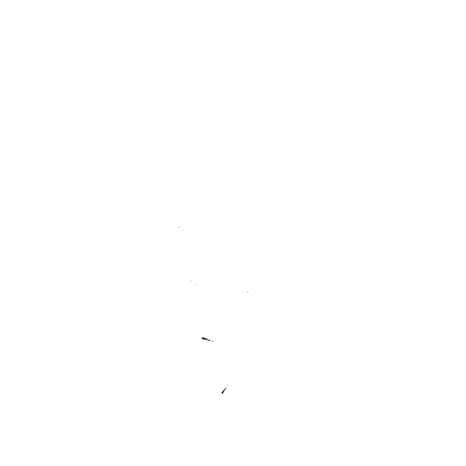 COc1ccc(OC)c(CNc2ncnc3c2ncn3[C@@H]2O[C@H](CO)[C@@H](O)[C@H]2O)c1